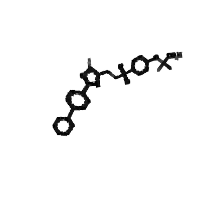 Cc1oc(-c2ccc(-c3ccccc3)cc2)nc1CCS(=O)(=O)c1ccc(OC(C)(C)C(=O)O)cc1